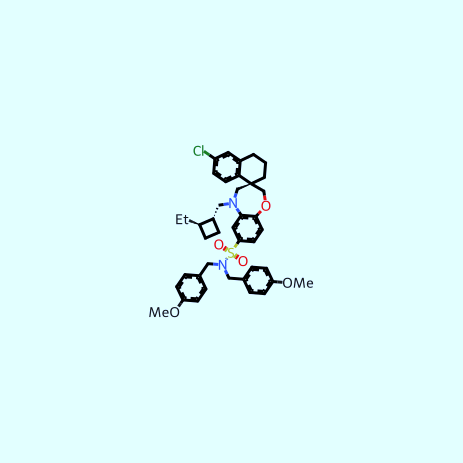 CC[C@@H]1CC[C@H]1CN1C[C@@]2(CCCc3cc(Cl)ccc32)COc2ccc(S(=O)(=O)N(Cc3ccc(OC)cc3)Cc3ccc(OC)cc3)cc21